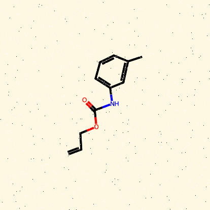 C=CCOC(=O)Nc1c[c]cc(C)c1